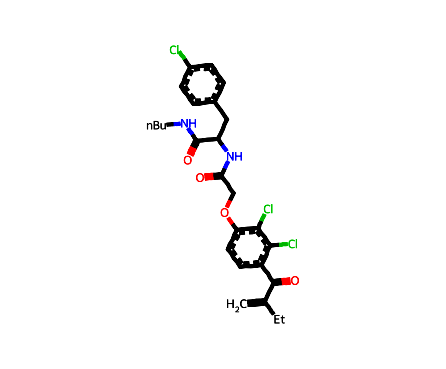 C=C(CC)C(=O)c1ccc(OCC(=O)NC(Cc2ccc(Cl)cc2)C(=O)NCCCC)c(Cl)c1Cl